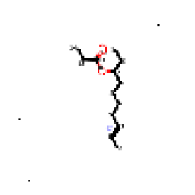 C/C=C/CCCCC(CC)OC(=O)CC